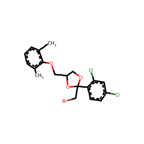 Cc1cccc(C)c1OCC1COC(CBr)(c2ccc(Cl)cc2Cl)O1